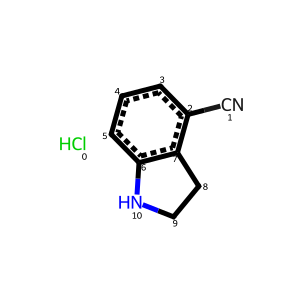 Cl.N#Cc1cccc2c1CCN2